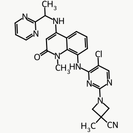 CC(Nc1cc(=O)n(C)c2c(Nc3nc(N4CC(C)(C#N)C4)ncc3Cl)cccc12)c1ncccn1